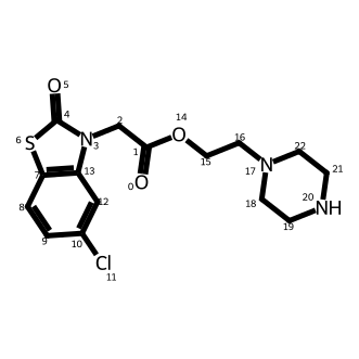 O=C(Cn1c(=O)sc2ccc(Cl)cc21)OCCN1CCNCC1